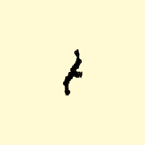 C=CC(=O)COCCCCCOC(=O)C1CCC(C(=O)OC2CCC(C(=O)Oc3ccc(OC(=O)C4CCC(OC(=O)C5CCC(C(=O)OCCCCCCOC(=O)C=C)CC5)CC4)c4c3SC(=C(C#N)C#N)S4)CC2)CC1